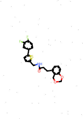 O=C(CCc1cccc2c1COCO2)NCc1ccc(-c2ccc(F)c(F)c2)s1